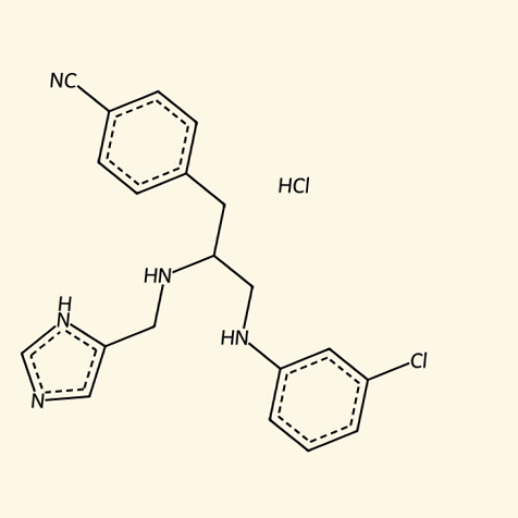 Cl.N#Cc1ccc(CC(CNc2cccc(Cl)c2)NCc2cnc[nH]2)cc1